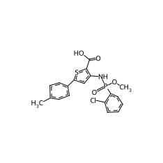 COP(=O)(Nc1cc(-c2ccc(C)cc2)sc1C(=O)O)c1ccccc1Cl